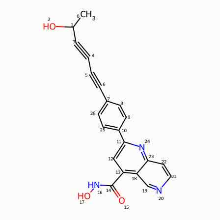 CC(O)C#CC#Cc1ccc(-c2cc(C(=O)NO)c3cnccc3n2)cc1